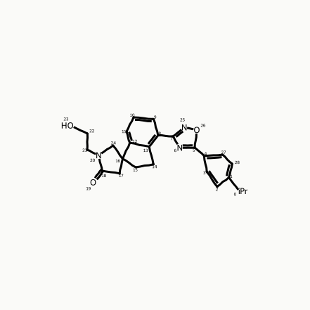 CC(C)c1ccc(-c2nc(-c3cccc4c3CCC43CC(=O)N(CCO)C3)no2)cc1